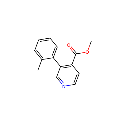 COC(=O)c1ccncc1-c1ccccc1C